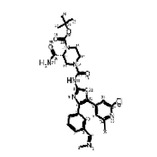 C/N=C\c1cccc(-c2nc(NC(=O)N3CCN(C(=O)OC(C)(C)C)[C@@H](C(N)=O)C3)sc2-c2cc(C)nc(Cl)c2)c1